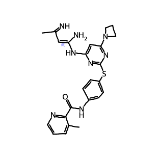 CC(=N)/C=C(\N)Nc1cc(N2CCC2)nc(Sc2ccc(NC(=O)c3ncccc3C)cc2)n1